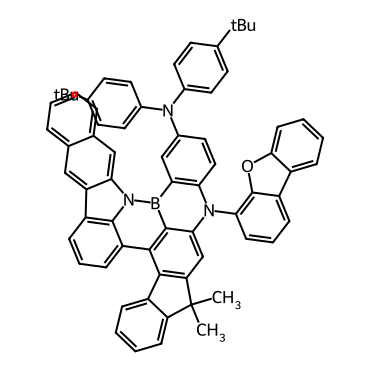 CC(C)(C)c1ccc(N(c2ccc(C(C)(C)C)cc2)c2ccc3c(c2)B2c4c(cc5c(c4-c4cccc6c7cc8ccccc8cc7n2c46)-c2ccccc2C5(C)C)N3c2cccc3c2oc2ccccc23)cc1